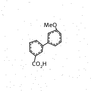 COc1cccc(-c2cccc(C(=O)O)c2)c1